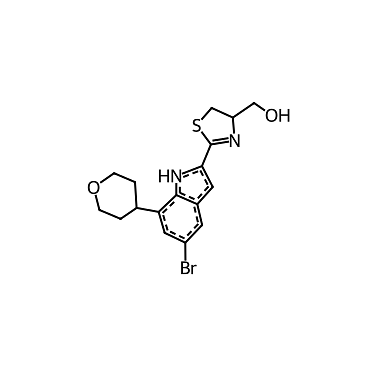 OCC1CSC(c2cc3cc(Br)cc(C4CCOCC4)c3[nH]2)=N1